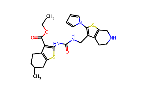 CCOC(=O)c1c(NC(=O)NCc2c(-n3cccc3)sc3c2CCNC3)sc2c1CCC(C)C2